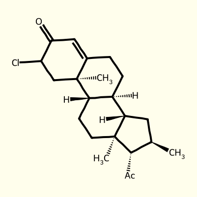 CC(=O)[C@H]1[C@H](C)C[C@H]2[C@@H]3CCC4=CC(=O)C(Cl)C[C@]4(C)[C@H]3CC[C@@]21C